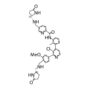 COc1cc(-c2nccc(-c3cccc(NC(=O)c4ccc(CNC[C@@H]5CCC(=O)N5)cn4)c3C)c2Cl)ccc1CNC[C@@H]1CCC(=O)N1